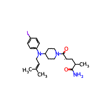 CC(C)=CCN(c1ccc(I)cc1)C1CCN(C(=O)[CH]CC(C)C(N)=O)CC1